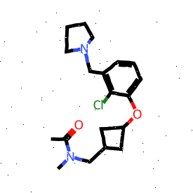 CC(=O)N(C)CC1CC(Oc2cccc(CN3CCCC3)c2Cl)C1